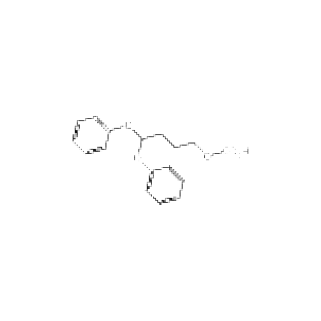 O=C(O)OCCCC(Oc1ccccc1)Oc1ccccc1